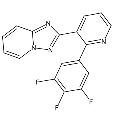 Fc1cc(-c2ncccc2-c2nc3ccccn3n2)cc(F)c1F